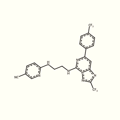 N#Cc1ccc(NCCNc2nc(-c3ccc(C(F)(F)F)cc3)cc3nc(C(F)(F)F)nn23)nc1